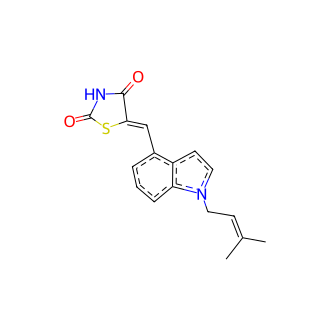 CC(C)=CCn1ccc2c(C=C3SC(=O)NC3=O)cccc21